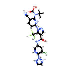 CC(C)(C)N(C(=O)O)c1nc(-n2ncc(C(=O)Nc3cnc(-n4nccn4)c(Cl)c3)c2C(F)(F)F)ccc1C#N